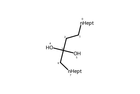 CCCCCCCCCC(O)(O)CCCCCCCC